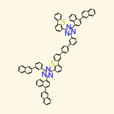 c1cc(-c2ccc(-c3ccc4sc5c(-c6nc(-c7cccc(-c8ccc9ccccc9c8)c7)nc(-c7ccc(-c8ccc9ccccc9c8)c8ccccc78)n6)cccc5c4c3)cc2)cc(-c2nc(-c3ccc(-c4ccc5ccccc5c4)c4ccccc34)nc(-c3cccc4c3sc3ccccc34)n2)c1